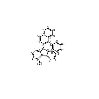 Clc1cccc2c1c1ccccc1n2-c1ccc2ccccc2c1-c1ccccc1